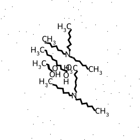 C/C=C/C(=O)O.CCCCCCCCCC(=O)O.CCCCCCCCN(CCCCCCCC)CCCCCCCC.CCCCCCCCN(CCCCCCCC)CCCCCCCC